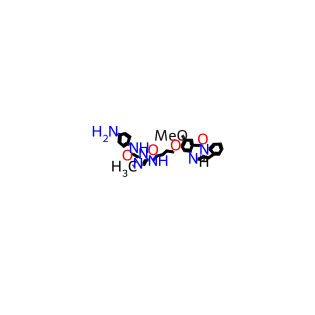 COc1cc2c(cc1OCCCC(=O)Nc1cn(C)c(C(=O)Nc3ccc(N)cc3)n1)N=C[C@@H]1Cc3ccccc3N1C2=O